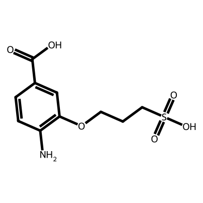 Nc1ccc(C(=O)O)cc1OCCCS(=O)(=O)O